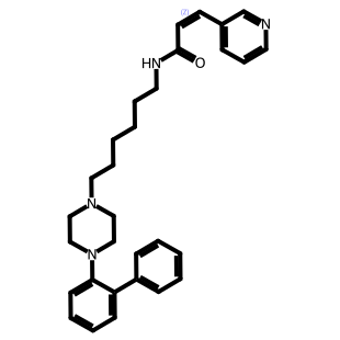 O=C(/C=C\c1cccnc1)NCCCCCCN1CCN(c2ccccc2-c2ccccc2)CC1